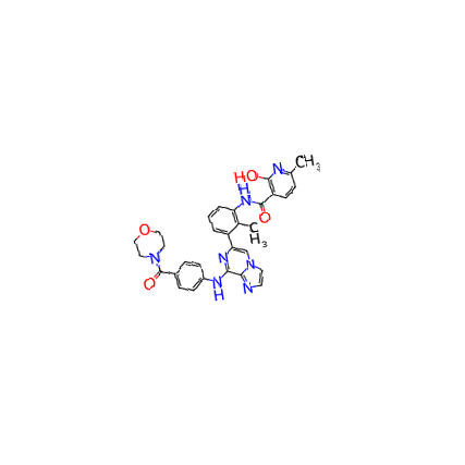 Cc1ccc(C(=O)Nc2cccc(-c3cn4ccnc4c(Nc4ccc(C(=O)N5CCOCC5)cc4)n3)c2C)c(O)n1